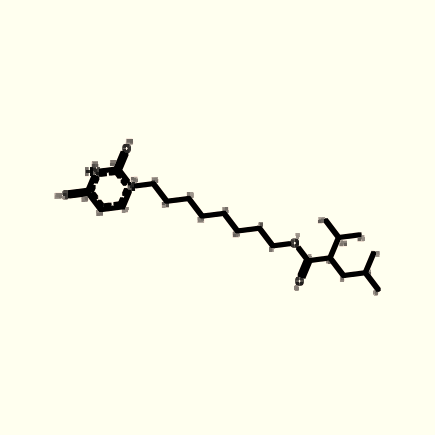 CC(C)CC(C(=O)OCCCCCCCCn1ccc(=S)[nH]c1=O)C(C)C